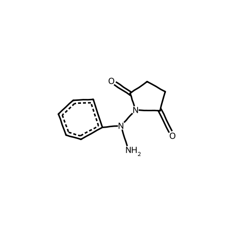 NN(c1ccccc1)N1C(=O)CCC1=O